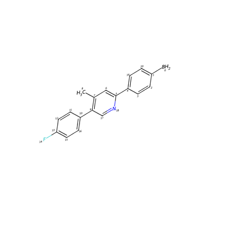 Bc1ccc(-c2cc(C)c(-c3ccc(F)cc3)cn2)cc1